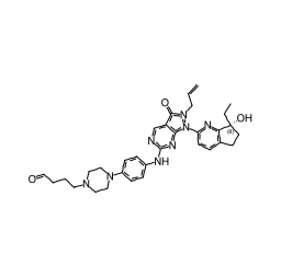 C=CCn1c(=O)c2cnc(Nc3ccc(N4CCN(CCCC=O)CC4)cc3)nc2n1-c1ccc2c(n1)[C@@](O)(CC)CC2